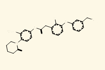 COc1cc(NC(=O)Cc2cccc(Nc3cccc(CN)c3)c2F)ccc1N1CCCCC1=O